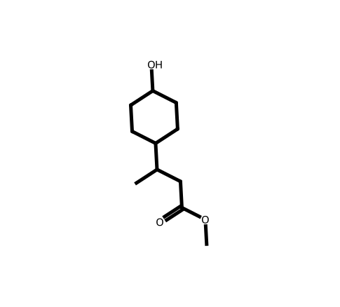 COC(=O)CC(C)C1CCC(O)CC1